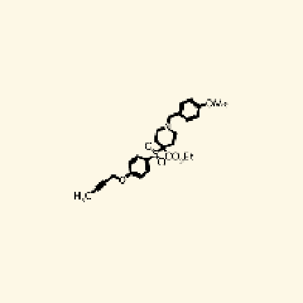 CC#CCOc1ccc(S(=O)(=O)C2(C(=O)OCC)CCN(Cc3ccc(OC)cc3)CC2)cc1